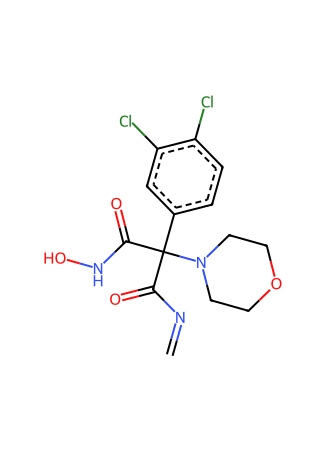 C=NC(=O)C(C(=O)NO)(c1ccc(Cl)c(Cl)c1)N1CCOCC1